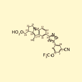 N#Cc1cc(OC(F)(F)F)cc(-c2nc(-c3ccc4c(c3)c(I)c3n4CCC3CC(=O)O)no2)c1